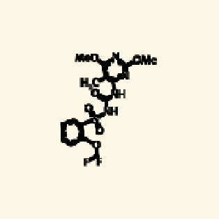 COc1nc(NC(=O)NS(=O)(=O)c2ccccc2OC(F)F)c(C)c(OC)n1